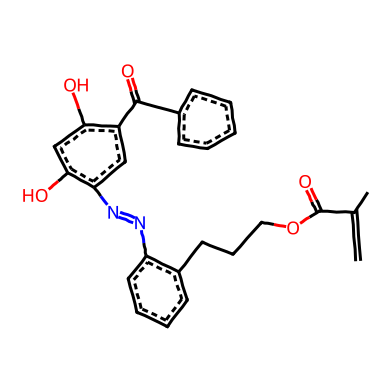 C=C(C)C(=O)OCCCc1ccccc1N=Nc1cc(C(=O)c2ccccc2)c(O)cc1O